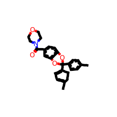 CC1=CC=C(C2(c3ccc(C)cc3)Oc3ccc(C(=O)N4CCOCC4)cc3O2)CC1